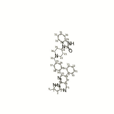 Cc1cc2ncc3cc(-c4ccccc4)c(-c4ccc(CN5CCC(n6c(=O)[nH]c7ccccc76)CC5)cc4)nc3n2n1